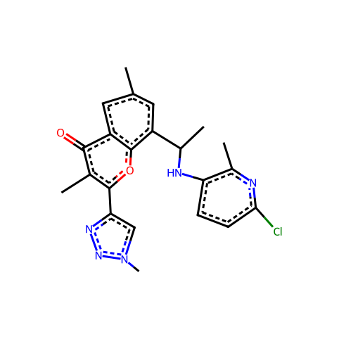 Cc1cc(C(C)Nc2ccc(Cl)nc2C)c2oc(-c3cn(C)nn3)c(C)c(=O)c2c1